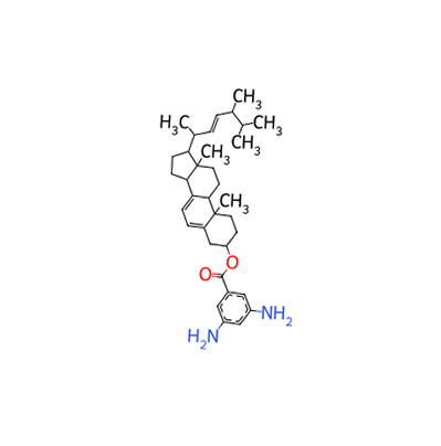 CC(C)C(C)/C=C/C(C)C1CCC2C3=CC=C4CC(OC(=O)c5cc(N)cc(N)c5)CCC4(C)C3CCC21C